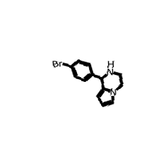 Brc1ccc(C2NCCn3cccc32)cc1